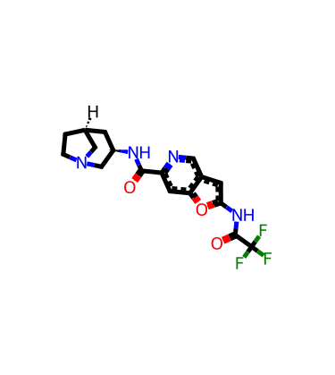 O=C(N[C@@H]1C[C@@H]2CCN(C2)C1)c1cc2oc(NC(=O)C(F)(F)F)cc2cn1